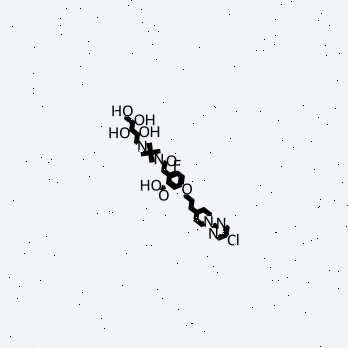 O=C(Cc1ccc(OCCCC2CCN(c3ncc(Cl)cn3)CC2)cc1F)N1CC2(CN(C[C@H](O)[C@H](O)[C@H](O)CO)C2)C1.O=CO